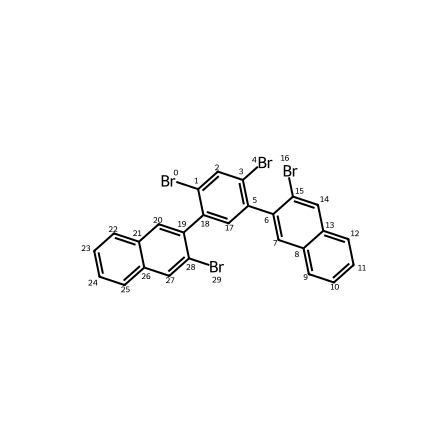 Brc1cc(Br)c(-c2cc3ccccc3cc2Br)cc1-c1cc2ccccc2cc1Br